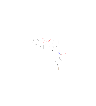 CC(C)(C(=O)OOc1ccccc1)C1CCN(C(=O)c2ccc(Br)cc2)CC1